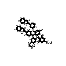 Cc1cc2c3c(c1)N(c1c(C)cc(C(C)(C)C)cc1C)c1cc4c(cc1B3c1ccc(-c3cc5ccccc5o3)cc1N2c1cccc(-c2cc3ccccc3o2)c1)OCCO4